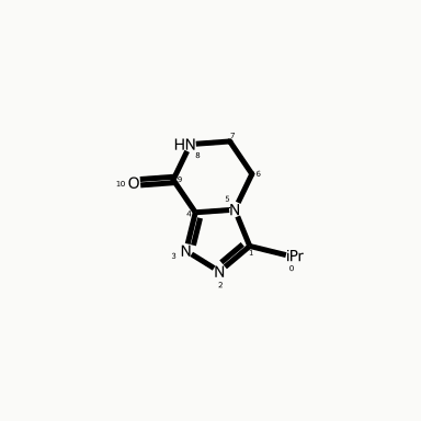 CC(C)c1nnc2n1CCNC2=O